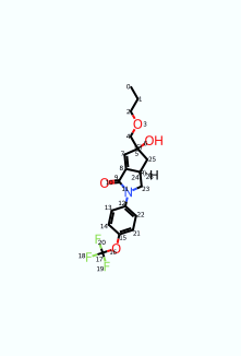 CCCOC[C@@]1(O)C=C2C(=O)N(c3ccc(OC(F)(F)F)cc3)C[C@@H]2C1